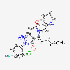 CCCCc1c2c(=O)n(-c3ccc(F)cc3Cl)[nH]c2cc(=O)n1Cc1ccccn1